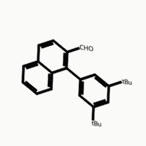 CC(C)(C)c1cc(-c2c(C=O)ccc3ccccc23)cc(C(C)(C)C)c1